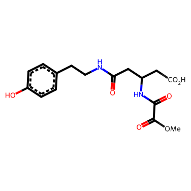 COC(=O)C(=O)NC(CC(=O)O)CC(=O)NCCc1ccc(O)cc1